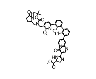 COC(=O)C1CN=C(c2cnc3cc(-c4cccc(-c5cccc(-c6ccc(CN(CC7CCC(=O)N7)C(=O)OC(C)(C)C)c(OC)n6)c5Cl)c4Cl)ccn3c2=O)N1